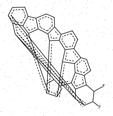 FC1c2c3ccc4c5ccc6c7ccc8c9ccc%10c(c%11c2c2c3c4c3c5c6c4c7c8c5c9c%10c%11c6c2c3c4c56)C1F